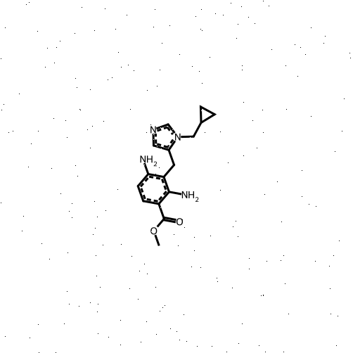 COC(=O)c1ccc(N)c(Cc2cncn2CC2CC2)c1N